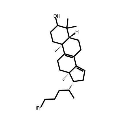 CC(C)CCCC(C)[C@H]1CC=C2C3=C(CC[C@@]21C)[C@@]1(C)CCC(O)C(C)(C)[C@@H]1CC3